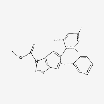 COC(=O)n1cnc2cc(-c3ccccc3)c(-c3c(C)cc(C)cc3C)cc21